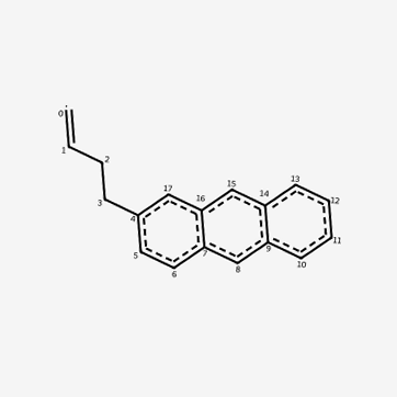 [CH]=CCCc1ccc2cc3ccccc3cc2c1